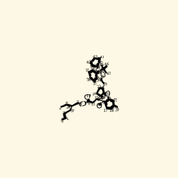 CCCC[C@@H](CC)COC(=O)CCS(=O)(=O)c1ccc(C)cc1O[C@@H]1CCC[C@@H]1CCO[Si](c1ccccc1)(c1ccccc1)C(C)(C)C